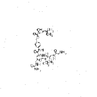 CC(C)[C@H](NC(=O)CNC(=O)CN)C(=O)N[C@@H](CCCNC(N)=O)C(=O)Nc1ccc(COC(=O)N(C)CCN(C)C)cc1